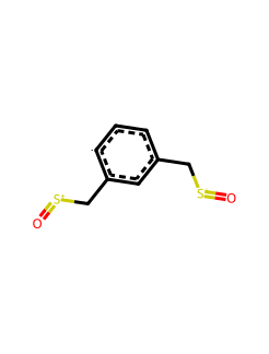 O=[S+]Cc1[c]ccc(C[S+]=O)c1